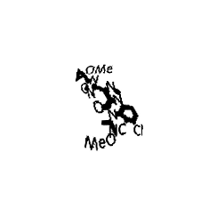 COCC(C)n1c(=O)c2c(-c3noc(C4(OC)CC4)n3)ncn2c2ccc(Cl)c(C#N)c21